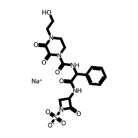 O=C(NC1CN(S(=O)(=O)[O-])C1=O)C(NC(=O)N1CCN(CCO)C(=O)C1=O)c1ccccc1.[Na+]